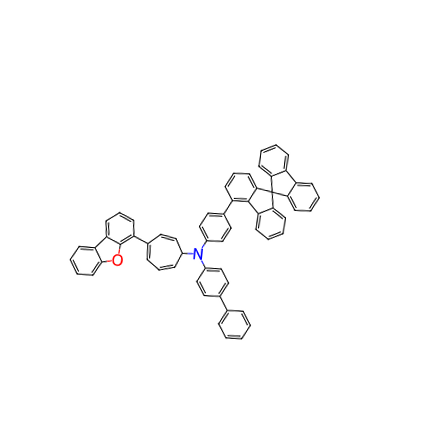 C1=CC(N(c2ccc(-c3ccccc3)cc2)c2ccc(-c3cccc4c3-c3ccccc3C43c4ccccc4-c4ccccc43)cc2)C=CC(c2cccc3c2oc2ccccc23)=C1